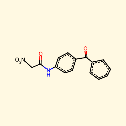 O=C(C[N+](=O)[O-])Nc1ccc(C(=O)c2ccccc2)cc1